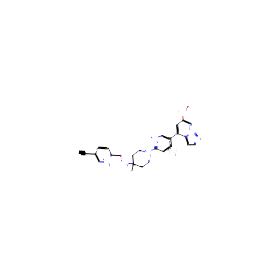 C#Cc1ccc(C(=O)NC2(C)CCN(c3ccc(-c4cc(OCC)cn5ncc(C#N)c45)cn3)CC2)nc1